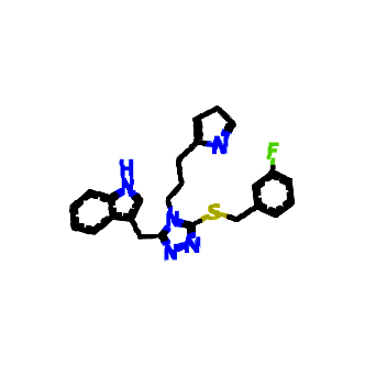 Fc1cccc(CSc2nnc(Cc3c[nH]c4ccccc34)n2CCCC2=CCC=N2)c1